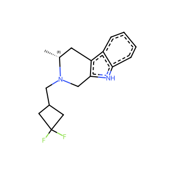 C[C@@H]1Cc2c([nH]c3ccccc23)CN1CC1CC(F)(F)C1